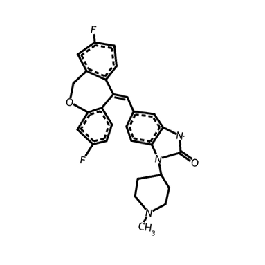 CN1CCC(N2C(=O)[N]c3cc(C=C4c5ccc(F)cc5COc5cc(F)ccc54)ccc32)CC1